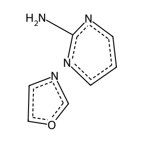 Nc1ncccn1.c1cocn1